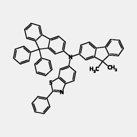 CC1(C)c2ccccc2-c2ccc(N(c3ccc4c(c3)C(c3ccccc3)(c3ccccc3)c3ccccc3-4)c3ccc4nc(-c5ccccc5)sc4c3)cc21